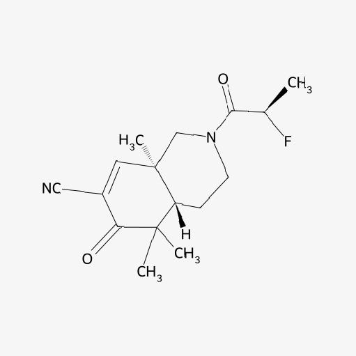 C[C@@H](F)C(=O)N1CC[C@@H]2C(C)(C)C(=O)C(C#N)=C[C@@]2(C)C1